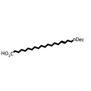 CCCCCCCCCCCCC=CCCCCCCCCCCCCCCC(=O)O